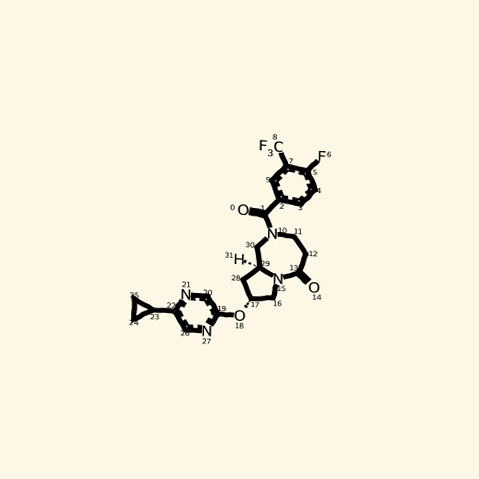 O=C(c1ccc(F)c(C(F)(F)F)c1)N1CCC(=O)N2C[C@H](Oc3cnc(C4CC4)cn3)C[C@H]2C1